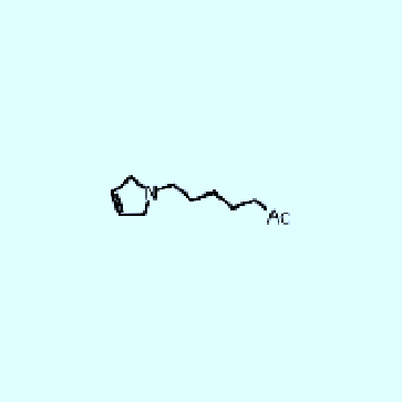 CC(=O)CCCCCN1CC=CC1